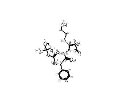 CC(C)(C)OC(=O)N[C@H](C(=O)N[C@@H]1C(=O)N[C@H]1SCCO)c1ccccc1